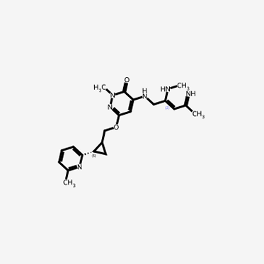 CN/C(=C\C(C)=N)CNc1cc(OCC2C[C@@H]2c2cccc(C)n2)nn(C)c1=O